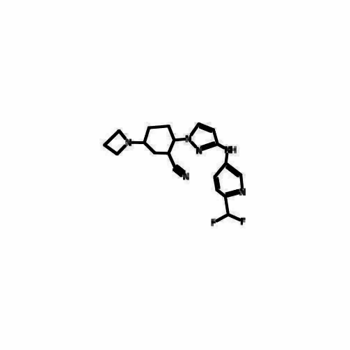 N#CC1CC(N2CCC2)CCC1n1ccc(Nc2ccc(C(F)F)nc2)n1